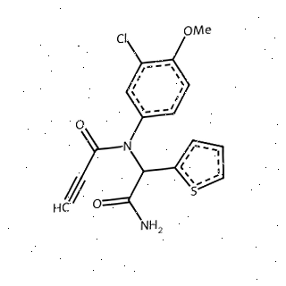 C#CC(=O)N(c1ccc(OC)c(Cl)c1)C(C(N)=O)c1cccs1